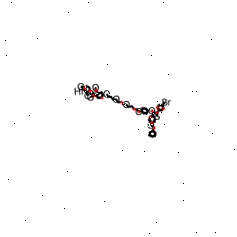 O=C1CCC(N2C(=O)c3ccc(OCCCOCCCOCCCCOc4ccc(Oc5c(-c6ccc(Br)cc6)sc6cc(OCc7ccccc7)ccc56)cc4)cc3C2=O)C(=O)N1